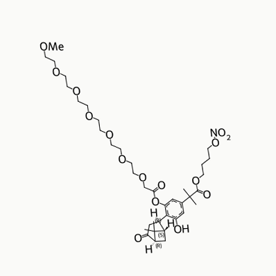 COCCOCCOCCOCCOCCOCCOCC(=O)Oc1cc(C(C)(C)C(=O)OCCCCO[N+](=O)[O-])cc(O)c1[C@@H]1CC(=O)[C@@H]2C[C@@H]1C2(C)C